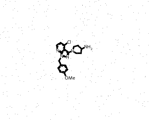 COc1ccc(Cn2nc(N3CCC(N)CC3)c3c(Cl)ccnc32)cc1